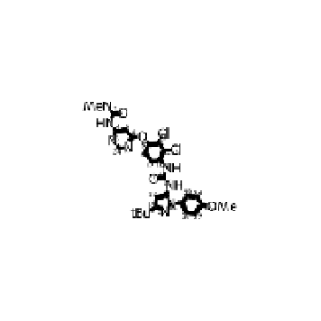 CNC(=O)Nc1cc(Oc2ccc(NC(=O)Nc3cc(C(C)(C)C)nn3-c3ccc(OC)cc3)c(Cl)c2Cl)ncn1